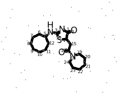 O=C1N=C(NC2CCCCCCC2)SC1CC(=O)N1CCCCCC1